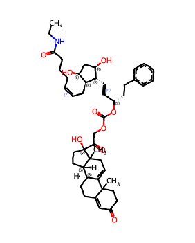 CCNC(=O)CCC/C=C\C[C@@H]1[C@@H](/C=C/[C@H](CCc2ccccc2)OC(=O)OCC(=O)[C@@]2(O)CC[C@H]3[C@@H]4CCC5=CC(=O)CCC5(C)C4=CCC32C)[C@H](O)C[C@@H]1O